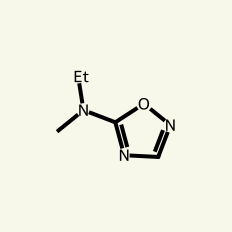 CCN(C)c1ncno1